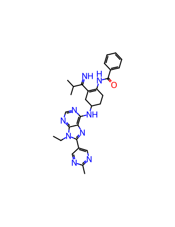 CCn1c(-c2cnc(C)nc2)nc2c(NC3CCC(NC(=O)c4ccccc4)=C(C(=N)C(C)C)C3)ncnc21